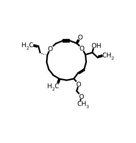 C=CC[C@H]1CCCC(=C)CC(OCOC)/C=C/CC(C(O)C=C)OC(=O)C#CCO1